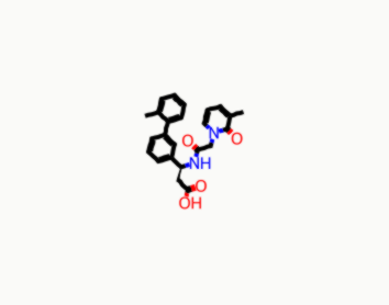 Cc1ccccc1-c1cccc([C@H](CC(=O)O)NC(=O)Cn2cccc(C)c2=O)c1